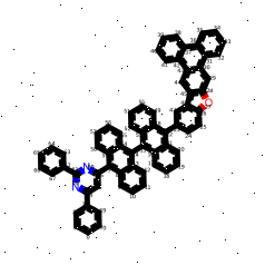 c1ccc(-c2cc(-c3c4ccccc4c(-c4c5ccccc5c(-c5ccc6oc7cc8c9ccccc9c9ccccc9c8cc7c6c5)c5ccccc45)c4ccccc34)nc(-c3ccccc3)n2)cc1